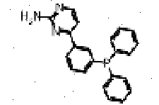 Nc1nccc(-c2cccc(P(c3ccccc3)c3ccccc3)c2)n1